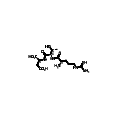 C[C@@H](O)[C@H](NC(=O)[C@@H](N)CCCNC(=N)N)C(=O)N[C@@H](CC(=O)O)C(=O)O